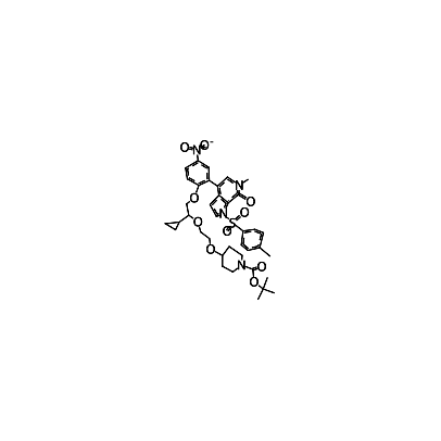 Cc1ccc(S(=O)(=O)n2ccc3c(-c4cc([N+](=O)[O-])ccc4OCC(OCCOC4CCN(C(=O)OC(C)(C)C)CC4)C4CC4)cn(C)c(=O)c32)cc1